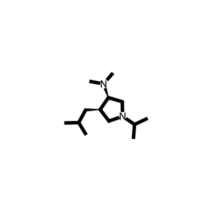 CC(C)C[C@@H]1CN(C(C)C)C[C@@H]1N(C)C